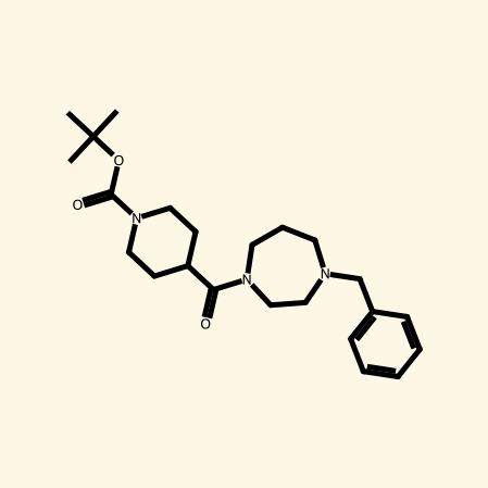 CC(C)(C)OC(=O)N1CCC(C(=O)N2CCCN(Cc3ccccc3)CC2)CC1